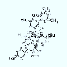 COc1c(C(C)(C)C)cc2c(c1-c1cc(C)cc(C)c1)C=C(C)[CH]2[Zr]([Cl])([Cl])[CH]1C(C)=Cc2c(-c3ccc(C(C)(C)C)cc3)c3c(c(-c4ccc(C(C)(C)C)cc4)c21)CCC3